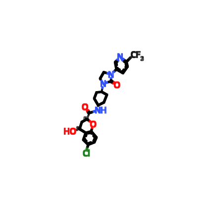 O=C(N[C@H]1CC[C@H](N2CCN(c3ccc(C(F)(F)F)nc3)C2=O)CC1)[C@H]1C[C@@H](O)c2cc(Cl)ccc2O1